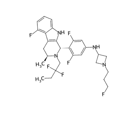 CCC(F)(F)CN1[C@@H](c2c(F)cc(NC3CN(CCCF)C3)cc2F)c2[nH]c3cccc(F)c3c2C[C@@H]1C